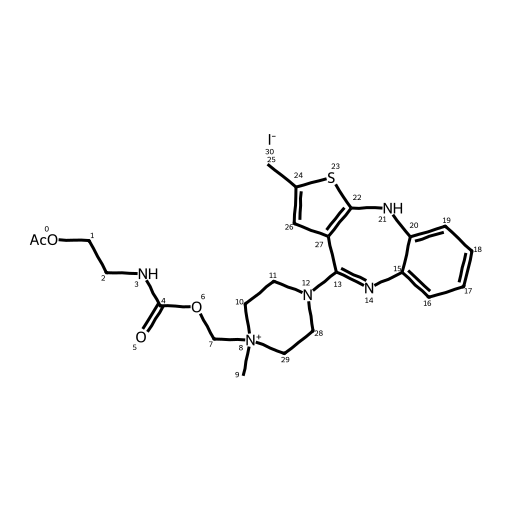 CC(=O)OCCNC(=O)OC[N+]1(C)CCN(C2=Nc3ccccc3Nc3sc(C)cc32)CC1.[I-]